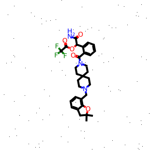 CC1(C)Cc2cccc(CN3CCC4(CC3)CCN(C(=O)c3ccccc3C(OC(=O)C(F)(F)F)C(N)=O)CC4)c2O1